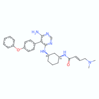 CN(C)CC=CC(=O)N[C@H]1CCC[C@@H](Nc2ncnc(N)c2-c2ccc(Oc3ccccc3)cc2)C1